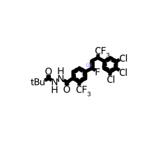 CC(C)(C)C(=O)NNC(=O)c1ccc(/C(F)=C/C(c2cc(Cl)c(Cl)c(Cl)c2)C(F)(F)F)cc1C(F)(F)F